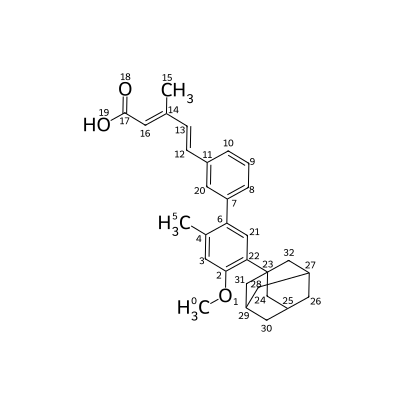 COc1cc(C)c(-c2cccc(C=CC(C)=CC(=O)O)c2)cc1C12CC3CC(CC(C3)C1)C2